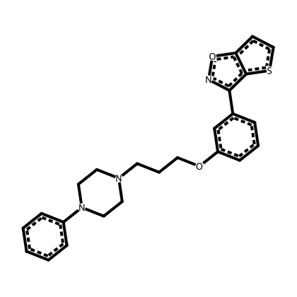 c1ccc(N2CCN(CCCOc3cccc(-c4noc5ccsc45)c3)CC2)cc1